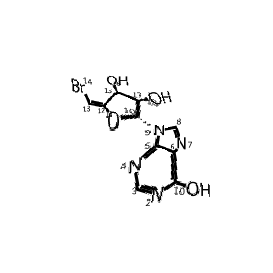 Oc1ncnc2c1ncn2[C@@H]1OC(=CBr)[C@@H](O)[C@H]1O